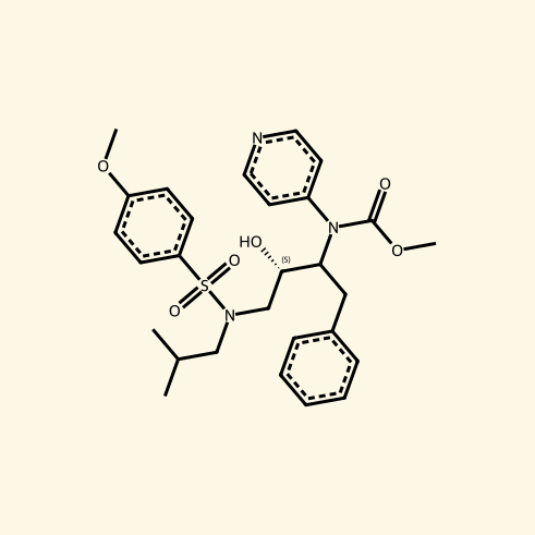 COC(=O)N(c1ccncc1)C(Cc1ccccc1)[C@@H](O)CN(CC(C)C)S(=O)(=O)c1ccc(OC)cc1